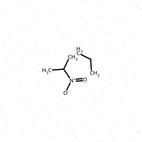 CC(C)[N+](=O)[O-].CCC